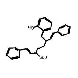 CCCCC(C=Cc1ccccc1)CCC(C=Cc1ccccc1)Cc1ccccc1O